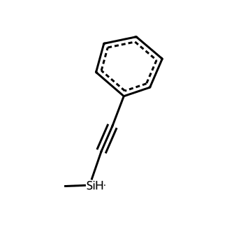 C[SiH]C#Cc1ccccc1